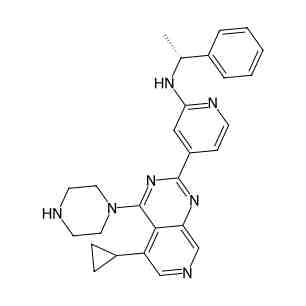 C[C@@H](Nc1cc(-c2nc(N3CCNCC3)c3c(C4CC4)cncc3n2)ccn1)c1ccccc1